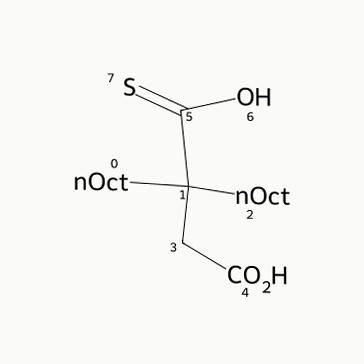 CCCCCCCCC(CCCCCCCC)(CC(=O)O)C(O)=S